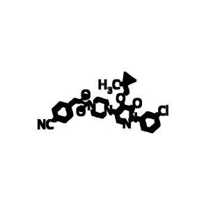 CC1(COc2c(N3CCN(S(=O)(=O)Cc4ccc(C#N)cc4)CC3)cnn(-c3cccc(Cl)c3)c2=O)CC1